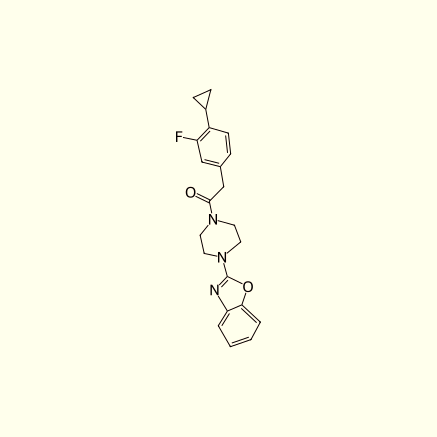 O=C(Cc1ccc(C2CC2)c(F)c1)N1CCN(c2nc3ccccc3o2)CC1